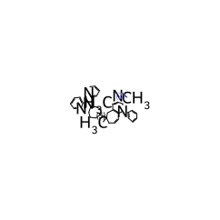 C/C=N\C1=C(C)C2=C(C=CCC(C)([C@H]3CCCC(N(c4ccccn4)c4ccccn4)CC3)C2)N(c2ccccc2)C1